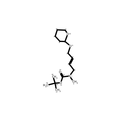 CN(C/C=C/COC1CCCCO1)C(=O)OC(C)(C)C